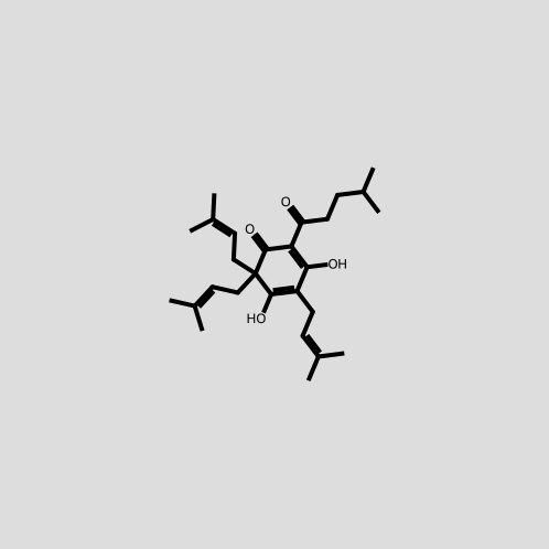 CC(C)=CCC1=C(O)C(CC=C(C)C)(CC=C(C)C)C(=O)C(C(=O)CCC(C)C)=C1O